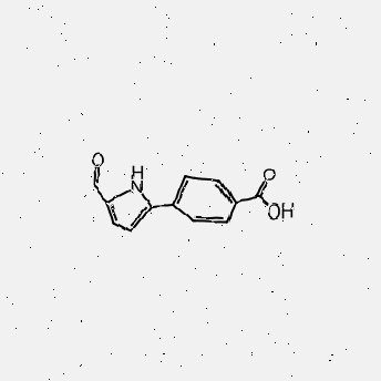 O=Cc1ccc(-c2ccc(C(=O)O)cc2)[nH]1